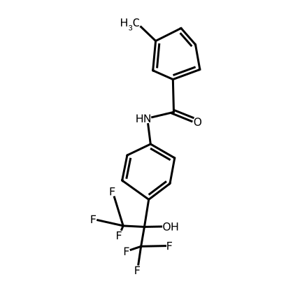 Cc1cccc(C(=O)Nc2ccc(C(O)(C(F)(F)F)C(F)(F)F)cc2)c1